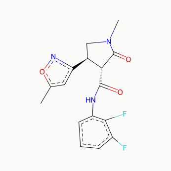 Cc1cc([C@H]2CN(C)C(=O)[C@@H]2C(=O)Nc2cccc(F)c2F)no1